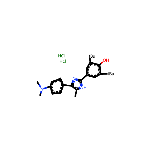 Cc1[nH]c(-c2cc(C(C)(C)C)c(O)c(C(C)(C)C)c2)nc1-c1ccc(N(C)C)cc1.Cl.Cl